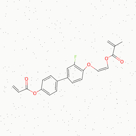 C=CC(=O)Oc1ccc(-c2ccc(O/C=C\OC(=O)C(=C)C)c(F)c2)cc1